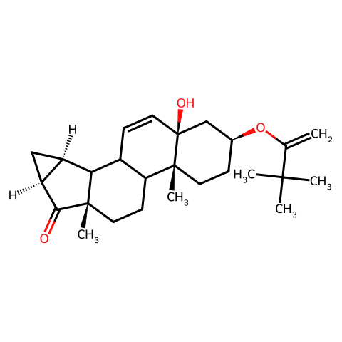 C=C(O[C@H]1CC[C@]2(C)C3CC[C@]4(C)C(=O)[C@H]5C[C@H]5C4C3C=C[C@]2(O)C1)C(C)(C)C